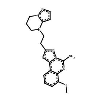 COc1cccc2c1nc(N)n1nc(CCN3CCCn4nccc43)nc21